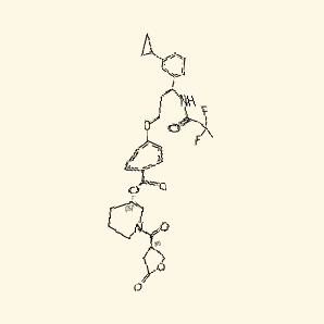 CC(F)(F)C(=O)NC(CCOc1ccc(C(=O)O[C@H]2CCCN(C(=O)[C@H]3COC(=O)C3)C2)cc1)c1cccc(C2CC2)c1